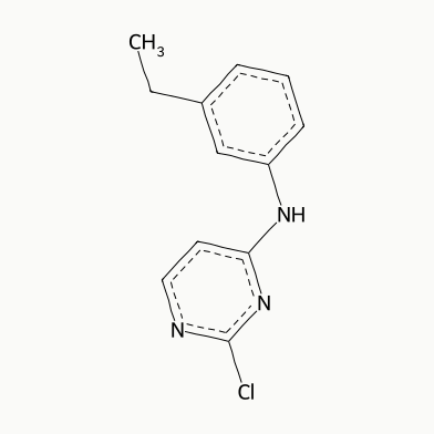 CCc1cccc(Nc2ccnc(Cl)n2)c1